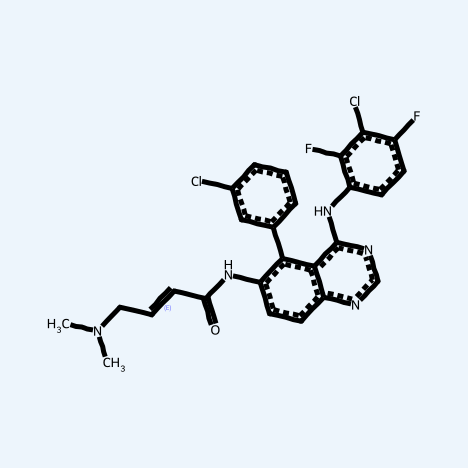 CN(C)C/C=C/C(=O)Nc1ccc2ncnc(Nc3ccc(F)c(Cl)c3F)c2c1-c1cccc(Cl)c1